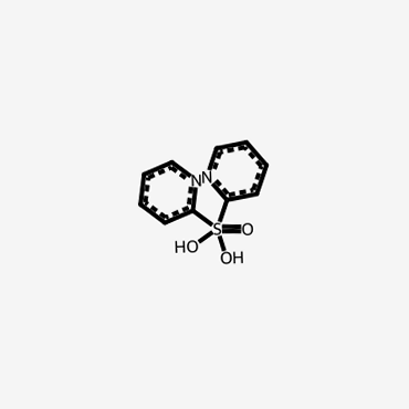 O=S(O)(O)(c1ccccn1)c1ccccn1